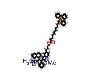 COc1nc2ccc(CCCCOC(=O)CCCCCCCCCCC[PH](c3ccccc3)(c3ccccc3)c3ccccc3)cc2cc1[C@@H](c1ccccc1)C(CCN(C)C)c1cccc2ccccc12